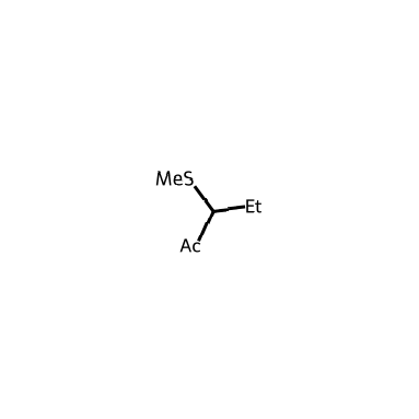 CCC(SC)C(C)=O